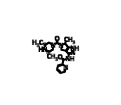 CC1c2[nH]nc(NC(=O)c3ccccn3)c2CN1C(=O)N1C[C@@H](C)N[C@@H](C)C1